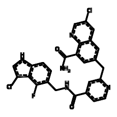 NC(=O)c1cc(Cc2cc(C(=O)NCc3ccc4[nH]cc(Cl)c4c3F)ccn2)cc2cc(Cl)cnc12